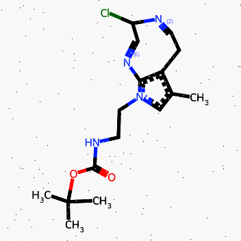 Cc1cn(CCNC(=O)OC(C)(C)C)c2c1C/C=N\C(Cl)/C=N/2